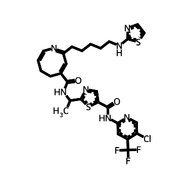 CC(NC(=O)/C1=C/C(CCCCCNc2nccs2)=N\C=C/CC1)c1ncc(C(=O)Nc2cc(C(F)(F)F)c(Cl)cn2)s1